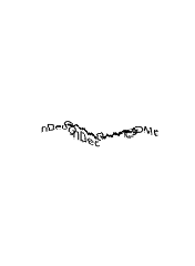 CCCCCCCCCCOC(CCCCCCOCCCCCCOOC)OCCCCCCCCCC